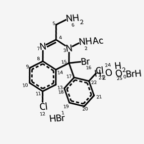 Br.Br.CC(=O)NN1C(CN)=Nc2ccc(Cl)cc2C1(Br)c1ccccc1Cl.O.O